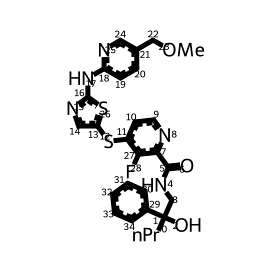 CCCC(O)(CNC(=O)c1nccc(Sc2cnc(Nc3ccc(COC)cn3)s2)c1F)c1ccccc1